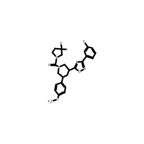 O=C(N1CC(c2ccc(OC(F)(F)F)cc2)CC(c2nc(-c3cccc(F)c3)no2)C1)N1CCC(F)(F)C1